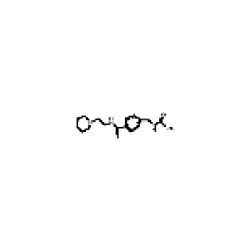 CC(=O)NCc1ccc(C(=O)NCCN2CCCCC2)cc1